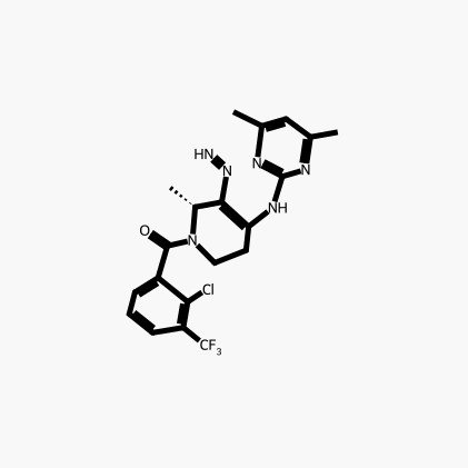 Cc1cc(C)nc(NC2=C(N=N)[C@@H](C)N(C(=O)c3cccc(C(F)(F)F)c3Cl)CC2)n1